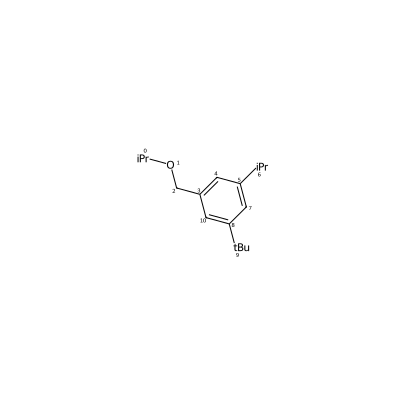 CC(C)OCc1cc(C(C)C)cc(C(C)(C)C)c1